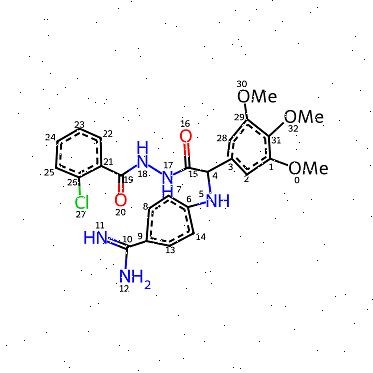 COc1cc(C(Nc2ccc(C(=N)N)cc2)C(=O)NNC(=O)c2ccccc2Cl)cc(OC)c1OC